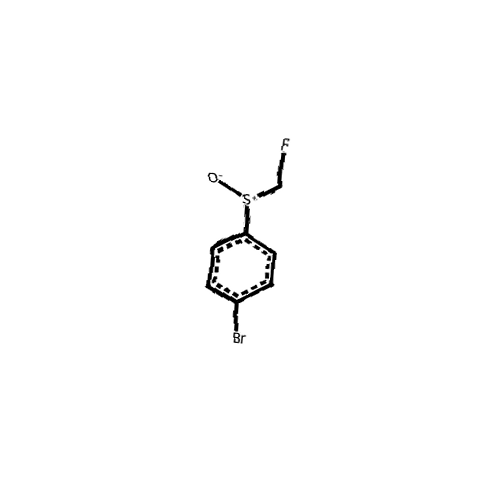 [O-][S+](CF)c1ccc(Br)cc1